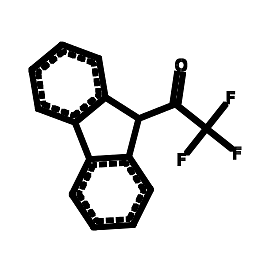 O=C(C1c2ccccc2-c2ccccc21)C(F)(F)F